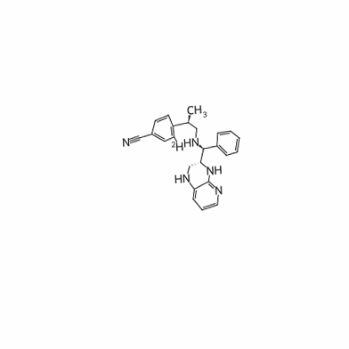 [2H]c1cc(C#N)ccc1[C@@H](C)CN[C@@H](c1ccccc1)[C@H]1CNc2cccnc2N1